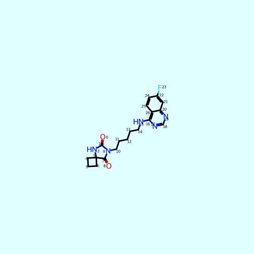 O=C1NC2(CCC2)C(=O)N1CCCCCNc1ncnc2cc(F)ccc12